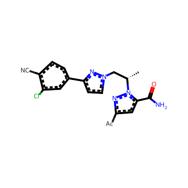 CC(=O)c1cc(C(N)=O)n([C@@H](C)Cn2ccc(-c3ccc(C#N)c(Cl)c3)n2)n1